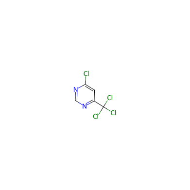 Clc1cc(C(Cl)(Cl)Cl)ncn1